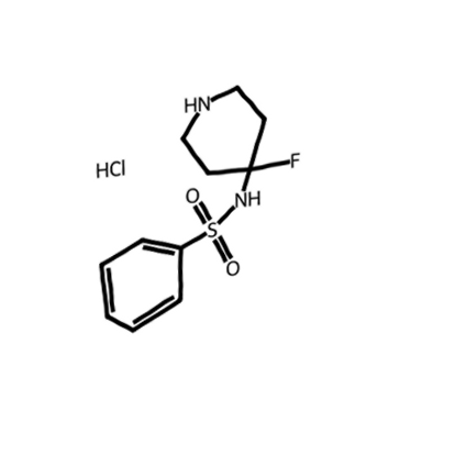 Cl.O=S(=O)(NC1(F)CCNCC1)c1ccccc1